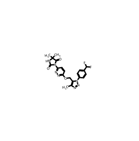 Cc1nnn(-c2ccc(C(F)F)cc2)c1COc1ccc(N2C(=O)NC(C)(C)C2=O)nn1